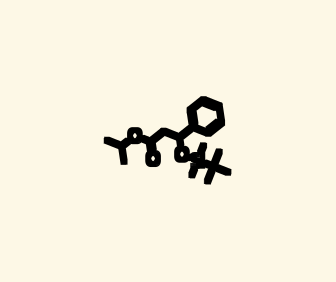 CC(C)OC(=O)CC(O[Si](C)(C)C(C)(C)C)c1ccccc1